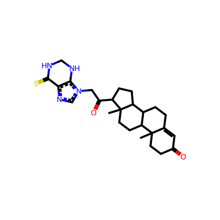 CC12CCC(=O)C=C1CCC1C2CCC2(C)C(C(=O)Cn3cnc4c3NCNC4=S)CCC12